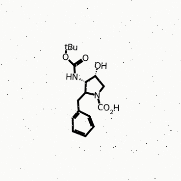 CC(C)(C)OC(=O)N[C@H]1C(Cc2ccccc2)N(C(=O)O)C[C@H]1O